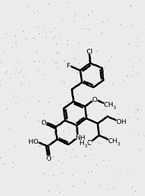 COc1c(Cc2cccc(Cl)c2F)cc2c(=O)c(C(=O)O)c[nH]c2c1C(CO)C(C)C